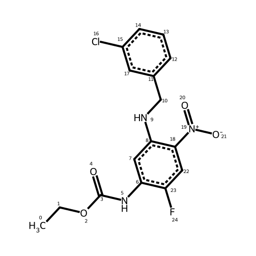 CCOC(=O)Nc1cc(NCc2cccc(Cl)c2)c([N+](=O)[O-])cc1F